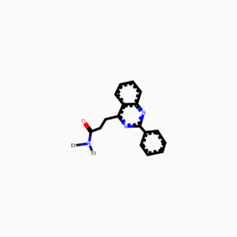 CCN(CC)C(=O)CCc1nc(-c2ccccc2)nc2ccccc12